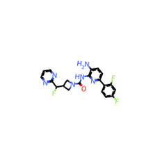 Nc1ccc(-c2ccc(F)cc2F)nc1NC(=O)N1CC(C(F)c2ncccn2)C1